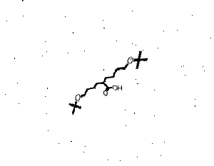 CC(C)(C)OCCCCC(CCCCOC(C)(C)C)C(=O)O